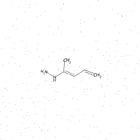 C=C/C=C(\C)NN